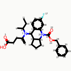 C=C(CCC(=O)O)N(C(C)CC)C1c2ccc(F)cc2N(C(=O)OCc2ccccc2)C2CCCC21